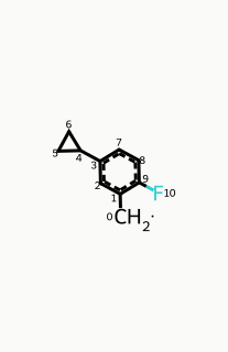 [CH2]c1cc(C2CC2)ccc1F